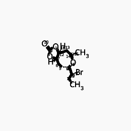 CC[C@@H](Br)[C@@H]1CC[C@H]2OC(=O)O[C@H]2C[C@H](C)O1